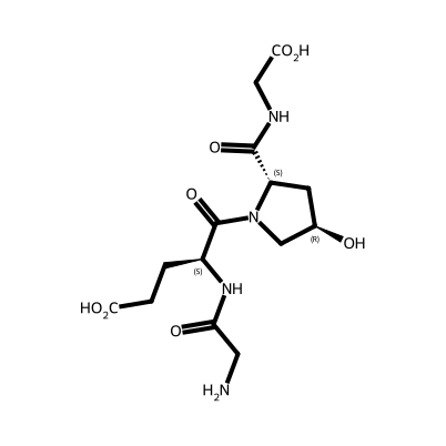 NCC(=O)N[C@@H](CCC(=O)O)C(=O)N1C[C@H](O)C[C@H]1C(=O)NCC(=O)O